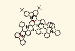 CC(C)(C)c1ccc2c(c1)c1cc(C(C)(C)C)ccc1n2-c1cc2c3c(c1)N(c1ccccc1-c1ccccc1)c1cc(-n4c5ccccc5c5ccccc54)ccc1B3c1ccc(-c3cccc(-n4c5ccccc5c5ccccc54)c3-n3c4ccccc4c4ccccc43)cc1N2c1ccccc1-c1ccccc1